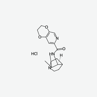 CC1(C)[C@@H](NC(=O)c2cc3c(cn2)OCCO3)C2CCN1CC2.Cl